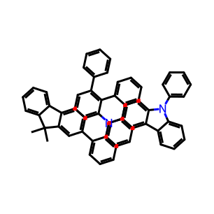 CC1(C)c2ccccc2-c2ccc(-c3ccccc3N(c3ccc4c(c3)c3ccccc3n4-c3ccccc3)c3cccc(-c4ccccc4)c3-c3ccccc3-c3ccccc3)cc21